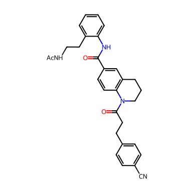 CC(=O)NCCc1ccccc1NC(=O)c1ccc2c(c1)CCCN2C(=O)CCc1ccc(C#N)cc1